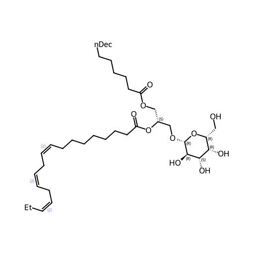 CC/C=C\C/C=C\C/C=C\CCCCCCCC(=O)O[C@H](COC(=O)CCCCCCCCCCCCCCC)CO[C@@H]1O[C@H](CO)[C@H](O)[C@H](O)[C@H]1O